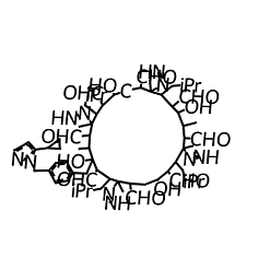 CC(C)CC1C(C=O)C(O)C(C)C(C=O)C(C)(N=N)C(CC(C)C)C(C=O)C(O)CC(C=O)C(C)(N=N)C(CC(C)C)C(C=O)C(O)(Cc2ccc(Cn3nccc3C3CC3)cc2)C(C)C(C=O)C(C)(N=N)C(CC(C)C)C(C=O)C(O)CC(C=O)C1(C)N=N